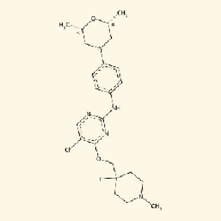 C[C@@H]1CN(c2ccc(Nc3ncc(Cl)c(OCC4(F)CCN(C)CC4)n3)cc2)C[C@H](C)O1